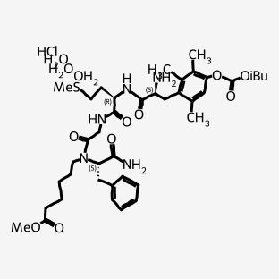 COC(=O)CCCCCN(C(=O)CNC(=O)[C@@H](CCSC)NC(=O)[C@@H](N)Cc1c(C)cc(OC(=O)OCC(C)C)c(C)c1C)[C@@H](Cc1ccccc1)C(N)=O.Cl.O.O.O